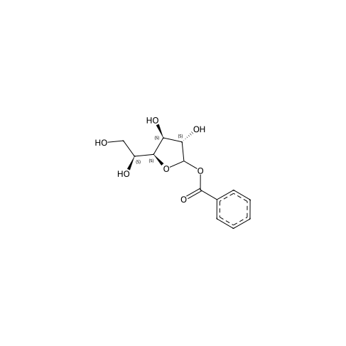 O=C(OC1O[C@@H]([C@@H](O)CO)[C@@H](O)[C@@H]1O)c1ccccc1